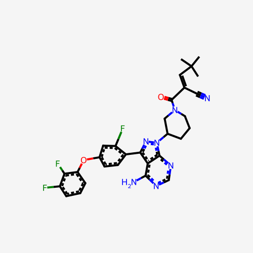 CC(C)(C)C=C(C#N)C(=O)N1CCCC(n2nc(-c3ccc(Oc4cccc(F)c4F)cc3F)c3c(N)ncnc32)C1